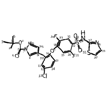 CC(C)(C)OC(=O)n1cc(-c2cc(Cl)ccc2Oc2cc(F)c(S(=O)(=O)Nc3nccs3)cc2F)cn1